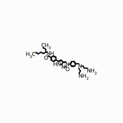 C/C=C/CCC(CCC)NC(=O)c1ccc(-c2cc3cn(-c4ccc(CN(CCCN)CCCN)cc4)c(=O)nc3[nH]2)cc1